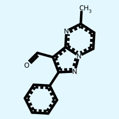 Cc1ccn2nc(-c3ccccc3)c(C=O)c2n1